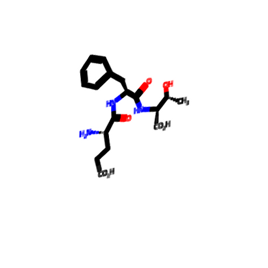 C[C@@H](O)[C@H](NC(=O)[C@H](Cc1ccccc1)NC(=O)[C@@H](N)CCC(=O)O)C(=O)O